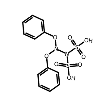 O=S(=O)(O)N(N(Oc1ccccc1)Oc1ccccc1)S(=O)(=O)O